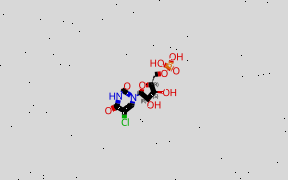 O=c1[nH]c(=O)n([C@@H]2O[C@H](COP(=O)(O)O)[C@@H](O)[C@H]2O)cc1Cl